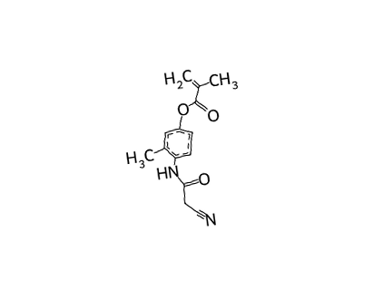 C=C(C)C(=O)Oc1ccc(NC(=O)CC#N)c(C)c1